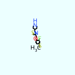 CSc1ccc(OCc2csc(C3CCNCC3)n2)c(F)c1